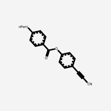 CCCCCc1ccc(C(=O)Oc2ccc(C#CC#N)cc2)cc1